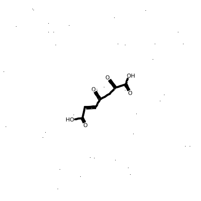 O=C(O)/C=C/C(=O)CC(=O)C(=O)O